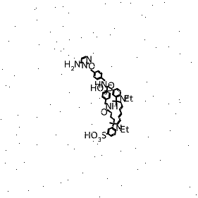 CCN1/C(=C/C=C/C=C/C2=[N+](CC)c3ccc(S(=O)(=O)O)cc3C2(C)C)C(C)(CCCC(=O)NCc2ccc(C(=O)NCc3ccc(COc4nccc(N)n4)cc3)cc2)c2cc(S(=O)(=O)O)ccc21